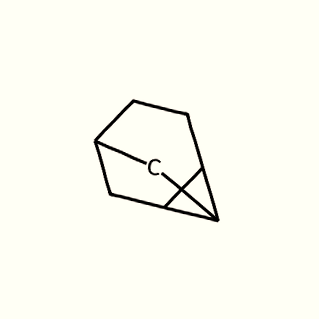 C1CC2C3CC1CC23